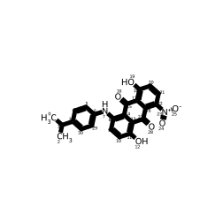 CC(C)c1ccc(Nc2ccc(O)c3c2C(=O)c2c(O)ccc([N+](=O)[O-])c2C3=O)cc1